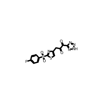 O=C(Cc1csc(S(=O)(=O)c2ccc(F)cc2)n1)C(=O)c1nn[nH]n1